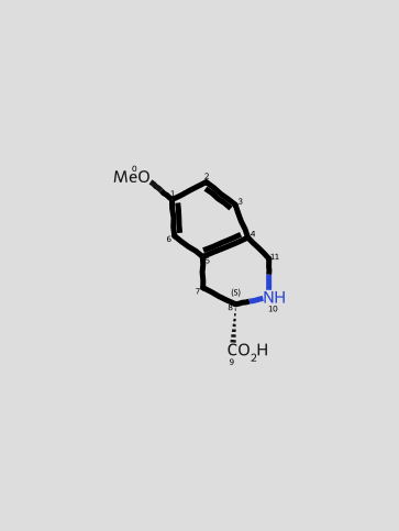 COc1ccc2c(c1)C[C@@H](C(=O)O)NC2